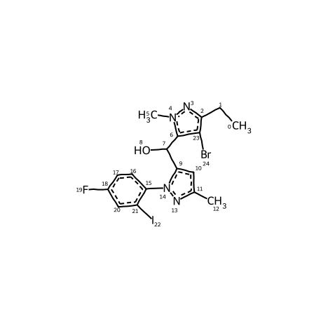 CCc1nn(C)c(C(O)c2cc(C)nn2-c2ccc(F)cc2I)c1Br